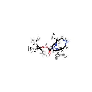 CC(C)(C)OC(=O)N1[C@H]2CC[C@]1(C)CNC2